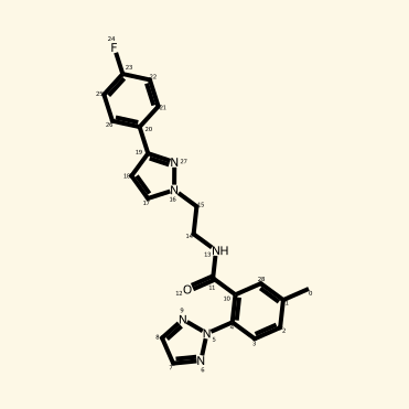 Cc1ccc(-n2nccn2)c(C(=O)NCCn2ccc(-c3ccc(F)cc3)n2)c1